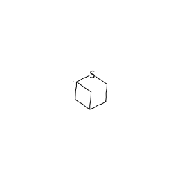 C1CC2C[C](C2)S1